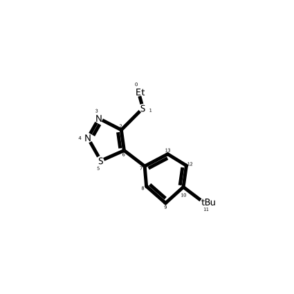 CCSc1nnsc1-c1ccc(C(C)(C)C)cc1